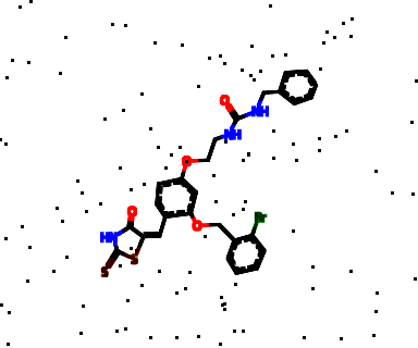 O=C(NCCOc1ccc(C=C2SC(=S)NC2=O)c(OCc2ccccc2Br)c1)NCc1ccccc1